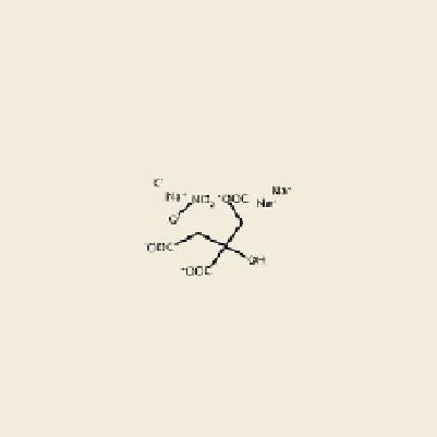 O=C([O-])CC(O)(CC(=O)[O-])C(=O)[O-].O=[N+]([O-])[O-].[K+].[Na+].[Na+].[Na+]